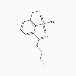 CCCOC(=O)c1cccc(CC)c1S(N)(=O)=O